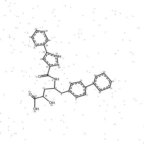 O=C(NC(Cc1ccc(-c2ccccc2)cc1)CC(O)C(=O)O)c1cc(-c2cnccn2)[nH]n1